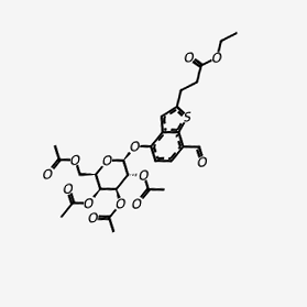 CCOC(=O)CCc1cc2c(O[C@@H]3O[C@H](COC(C)=O)[C@H](OC(C)=O)[C@H](OC(C)=O)[C@H]3OC(C)=O)ccc(C=O)c2s1